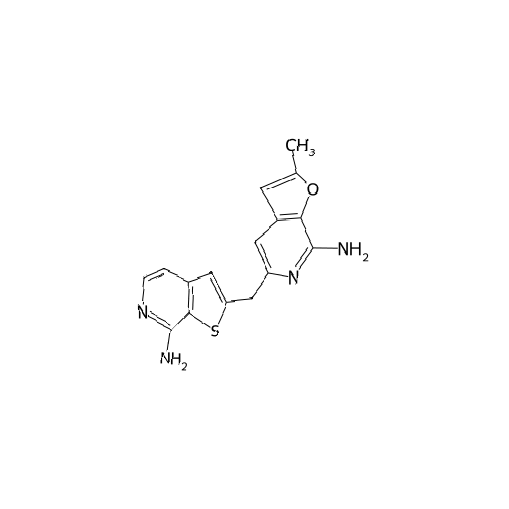 Cc1cc2cc(Cc3cc4ccnc(N)c4s3)nc(N)c2o1